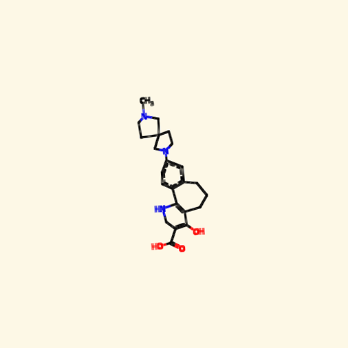 CN1CCC2(CCN(c3ccc4c(c3)CCCC3=C4NCC(C(=O)O)=C3O)C2)C1